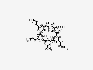 C=CC[C@H](NC(=O)[C@H](CCCCN)NC(=O)[C@H](CCCCN)NC(=O)[C@H](C)N)C(=O)N[C@H](CCCCN)C(=O)N[C@@H](CC(C)C)C(=O)O